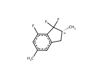 Cc1cc(F)c2c(c1)C[C@@H](C)C2(F)F